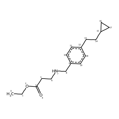 CCOC(=O)CCNCc1ccc(CCC2CC2)cc1